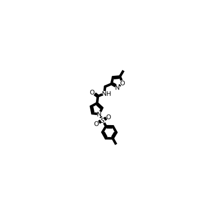 Cc1ccc(S(=O)(=O)n2ccc(C(=O)NCc3cc(C)on3)c2)cc1